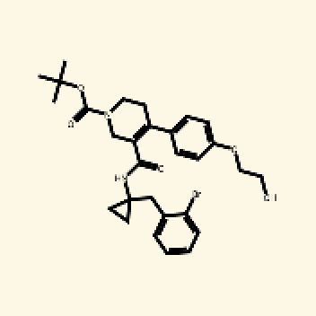 CC(C)(C)OC(=O)N1CCC(c2ccc(OCCO)cc2)=C(C(=O)NC2(Cc3ccccc3Br)CC2)C1